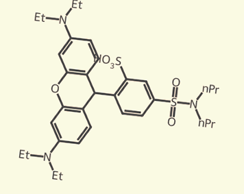 CCCN(CCC)S(=O)(=O)c1ccc(C2c3ccc(N(CC)CC)cc3Oc3cc(N(CC)CC)ccc32)c(S(=O)(=O)O)c1